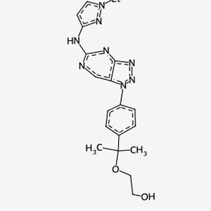 CCn1ccc(Nc2ncc3c(nnn3-c3ccc(C(C)(C)OCCO)cc3)n2)n1